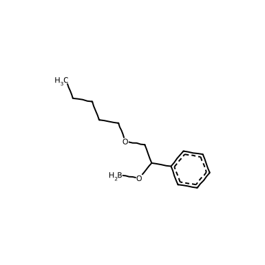 BOC(COCCCCC)c1ccccc1